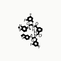 CN(C(=O)[C@H](Cc1cc(F)cc(F)c1)NC(=O)c1cccc(C(=O)N[C@@H](Cc2cc(F)cc(F)c2)C(=O)N(C)c2ccc3scnc3c2)c1)c1ccc2sccc2c1